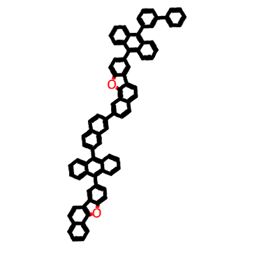 c1ccc(-c2cccc(-c3c4ccccc4c(-c4ccc5oc6c7cc(-c8ccc9ccc(-c%10c%11ccccc%11c(-c%11ccc%12oc%13c%14ccccc%14ccc%13c%12c%11)c%11ccccc%10%11)cc9c8)ccc7ccc6c5c4)c4ccccc34)c2)cc1